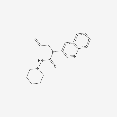 C=CCN(C(=O)NN1CCCCC1)c1cnc2ccccc2c1